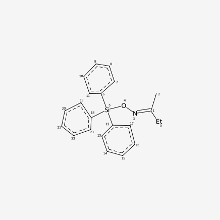 CC/C(C)=N/O[Si](c1ccccc1)(c1ccccc1)c1ccccc1